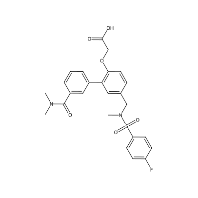 CN(C)C(=O)c1cccc(-c2cc(CN(C)S(=O)(=O)c3ccc(F)cc3)ccc2OCC(=O)O)c1